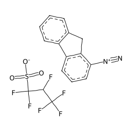 N#[N+]c1cccc2c1Cc1ccccc1-2.O=S(=O)([O-])C(F)(F)C(F)C(F)(F)F